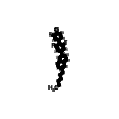 CCCCCCc1ccc2cc(-c3cc(F)c(-c4ccc(Cl)c(F)c4)c(F)c3)ccc2c1